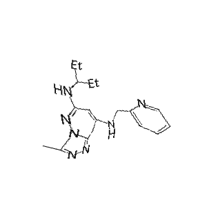 CCC(CC)Nc1cc(NCc2ccccn2)c2nnc(C)n2n1